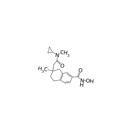 CN(C(=O)CC1(C)CCc2ccc(C(=O)NO)cc2C1)C1CC1